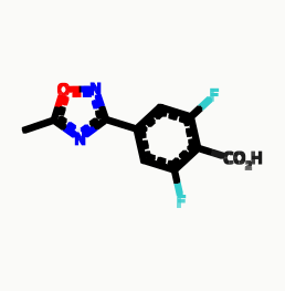 Cc1nc(-c2cc(F)c(C(=O)O)c(F)c2)no1